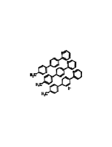 Cc1ccc(-c2ccc(-c3ccccn3)cc2)cc1.Cc1ccc(-c2ccc(-c3ccccn3)cc2)cc1.Cc1ccc(-c2ccc(-c3ccccn3)cc2)cc1.[Ir]